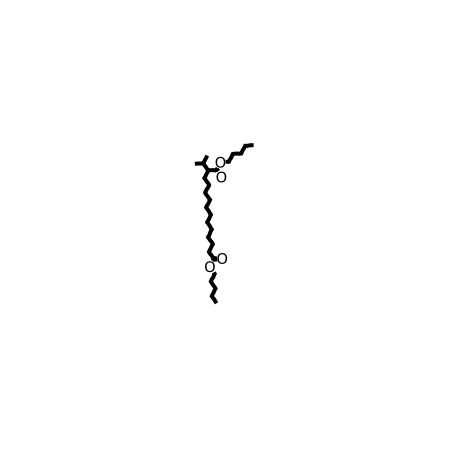 CCCCCOC(=O)CCCCCCCCCCCC(C(=O)OCCCCC)C(C)C